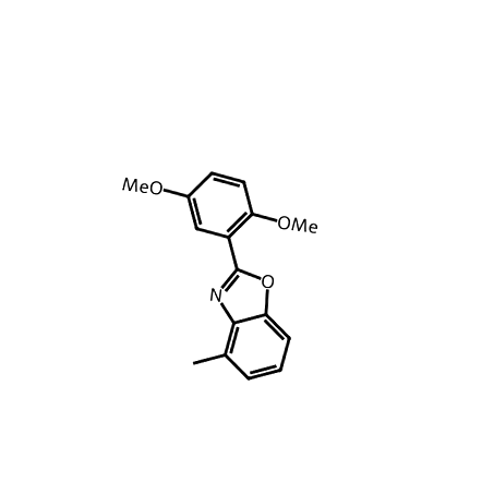 COc1ccc(OC)c(-c2nc3c(C)cccc3o2)c1